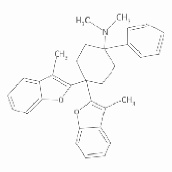 Cc1c(C2(c3oc4ccccc4c3C)CCC(c3ccccc3)(N(C)C)CC2)oc2ccccc12